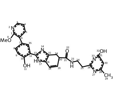 COc1ncccc1-c1ccc(O)c(-c2nc3c([nH]2)C=CC(C(=O)NCCc2nc(C)cc(O)n2)C3)c1